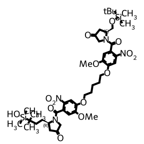 COc1cc(C(=O)N2CC(=O)C[C@H]2CCC(C)(C)[Si](C)(C)O)c([N+](=O)[O-])cc1OCCCCCOc1cc([N+](=O)[O-])c(C(=O)N2CC(=O)C[C@H]2CO[Si](C)(C)C(C)(C)C)cc1OC